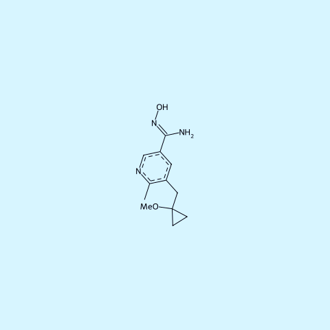 COC1(Cc2cc(C(N)=NO)cnc2C)CC1